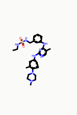 CCNS(=O)(=O)NCc1cccc(Nc2nc(Nc3ccc(N4CCN(C)CC4)c(C)c3)ncc2C)c1